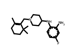 CC1=C(CN2CCC(Nc3ccc(F)cc3N)CC2)C(C)(C)CCC1